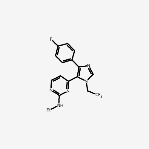 CCNc1nccc(-c2c(-c3ccc(F)cc3)ncn2CC(F)(F)F)n1